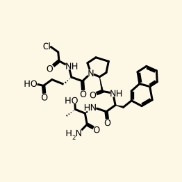 C[C@H](O)[C@H](NC(=O)[C@H](Cc1ccc2ccccc2c1)NC(=O)[C@@H]1CCCCN1C(=O)[C@H](CCC(=O)O)NC(=O)CCl)C(N)=O